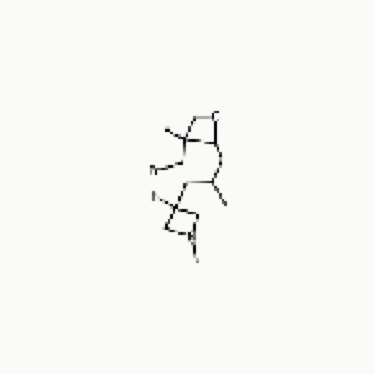 CC(C)CC1(F)COC1CC(C)CC1(F)CN(C)C1